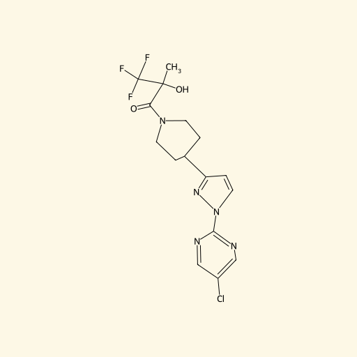 CC(O)(C(=O)N1CCC(c2ccn(-c3ncc(Cl)cn3)n2)CC1)C(F)(F)F